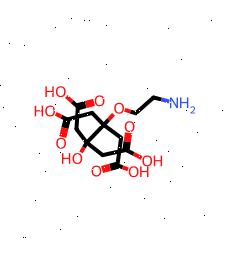 NCCOC(CC(=O)O)(CC(=O)O)C(O)(CC(=O)O)CC(=O)O